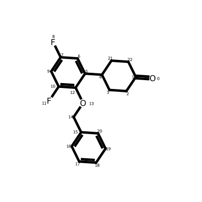 O=C1CCC(c2cc(F)cc(F)c2OCc2ccccc2)CC1